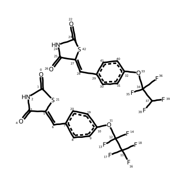 O=C1NC(=O)C(=Cc2ccc(OC(F)(F)C(F)(F)F)cc2)S1.O=C1NC(=O)C(=Cc2ccc(OC(F)(F)C(F)F)cc2)S1